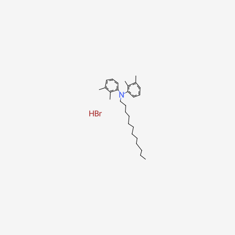 Br.CCCCCCCCCCCCN(c1cccc(C)c1C)c1cccc(C)c1C